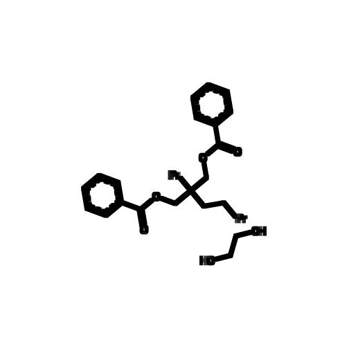 CC(C)CCC(COC(=O)c1ccccc1)(COC(=O)c1ccccc1)C(C)C.OCCO